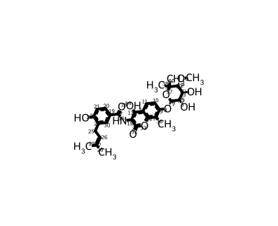 CO[C@@H]1[C@@H](O)[C@@H](O)[C@H](Oc2ccc3c(O)c(NC(=O)c4ccc(O)c(CC=C(C)C)c4)c(=O)oc3c2C)OC1(C)C